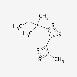 CCC(C)(C)c1ssc1-c1ssc1C